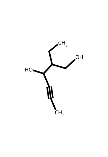 CC#CC(O)C(CC)CO